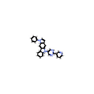 c1ccc(-n2ccc3cc4c(cc32)c2ccccc2n4-c2cnc(-c3cccnc3)nc2)cc1